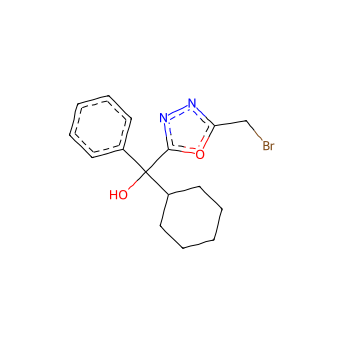 OC(c1ccccc1)(c1nnc(CBr)o1)C1CCCCC1